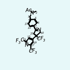 CC(=O)N(C)Cc1ccc(C2=NCC(c3cc(C(F)(F)F)nc(C(F)(F)F)c3)(C(F)(F)F)C2)cc1